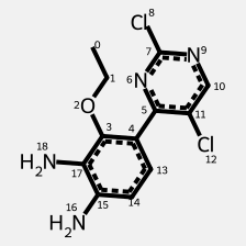 CCOc1c(-c2nc(Cl)ncc2Cl)ccc(N)c1N